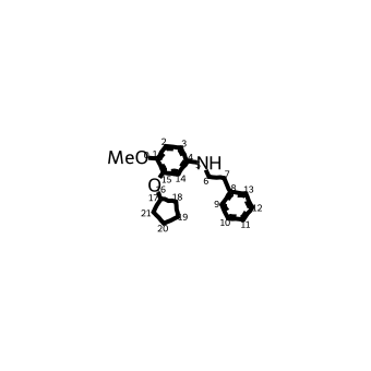 COc1ccc(NCCc2ccccc2)cc1OC1CCCC1